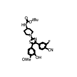 COc1ccc(-c2sc(N3CCC(NC(=O)OC(C)(C)C)CC3)nc2-c2ccc(C#N)c(F)c2)cc1O